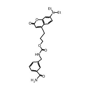 CCN(CC)c1ccc2c(CCCOC(=O)NCc3cccc(C(N)=O)c3)cc(=O)oc2c1